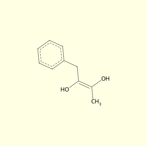 CC(O)=C(O)Cc1ccccc1